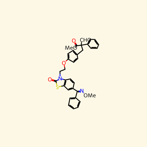 CON=C(c1ccccc1)c1ccc2c(c1)sc(=O)n2CCOc1ccc(CC(C=O)(C(=O)OC)c2ccccc2)cc1